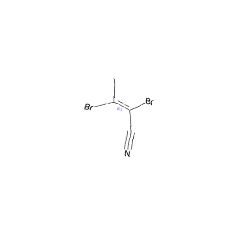 C/C(Br)=C(\Br)C#N